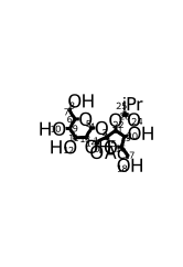 CC(=O)OCC1(OC2OC(CO)C(O)C(O)C2O)OC(CO)C(O)C1OC(=O)C(C)C